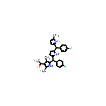 CC(=O)c1c(C)[nH]c(C(C2=CC=C(F)CC2)c2ccc(C(c3ccc(F)cc3)c3ccc(C)[nH]3)[nH]2)c1C